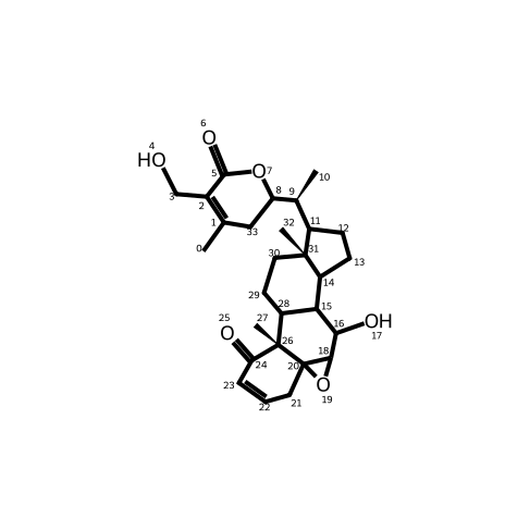 CC1=C(CO)C(=O)OC([C@@H](C)C2CCC3C4C(O)C5OC56CC=CC(=O)[C@]6(C)C4CC[C@@]32C)C1